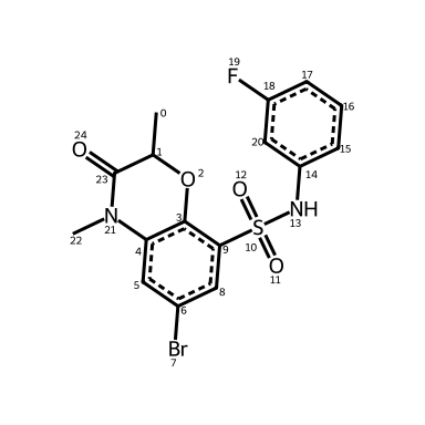 CC1Oc2c(cc(Br)cc2S(=O)(=O)Nc2cccc(F)c2)N(C)C1=O